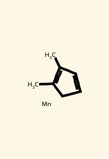 CC1=C(C)CC=C1.[Mn]